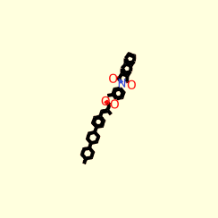 C/C(=C\c1ccc(C2CCC(C3CCC(C)CC3)CC2)cc1)C(=O)Oc1ccc(N2C(=O)C3C4CC(C3C2=O)C2C3C=CC(C3)C42)cc1C